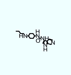 CCCCNC1CCC(NC(=O)Nc2c[nH]c3cnccc23)CC1